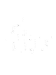 CC[Si]1(CC)C2=C(c3ccc(I)s3)C(=O)C=CC2=Nc2ccc(O)cc21